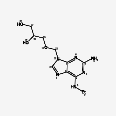 CCNc1nc(N)nc2c1ncn2COCC(O)CO